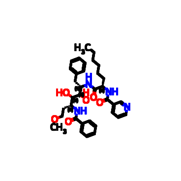 CCCCCC[C@@H](NC(=O)c1cccnc1)C(=O)N[C@@H](Cc1ccccc1)[C@@H](O)[C@H](O)[C@@H](CCOC)NC(=O)c1ccccc1